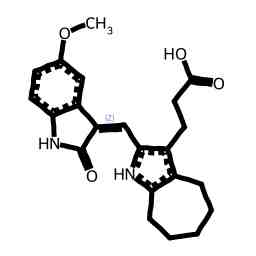 COc1ccc2c(c1)/C(=C/c1[nH]c3c(c1CCC(=O)O)CCCCC3)C(=O)N2